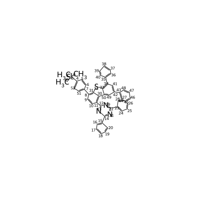 C[Si](C)(C)c1ccc(-c2ccc(-c3nc(-c4ccccc4)nc(-c4ccccc4)n3)c3c2sc2c(-c4ccccc4)cc(-c4ccccc4)cc23)cc1